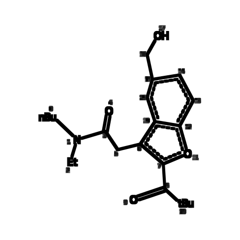 CCCCN(CC)C(=O)Cc1c(C(=O)C(C)(C)C)oc2ccc(CO)cc12